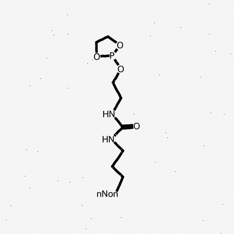 CCCCCCCCCCCCNC(=O)NCCOP1OCCO1